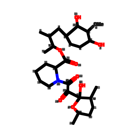 COC1C(O)CCC(CC(C)C(C)OC(=O)C2CCCCN2C(=O)C(=O)C2(O)OC(C)CCC2C)C1O